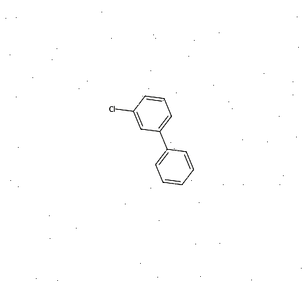 Clc1[c]ccc(-c2ccccc2)c1